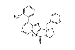 Cc1ccccc1-c1cccn2cc([C@@]3(Cc4ccccc4)CCCN3C(=O)O)nc12